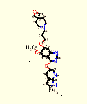 COc1cc2c(Oc3cnc4[nH]c(C)cc4c3)ncnc2cc1OCCCN1CCC2(CC1)COC2